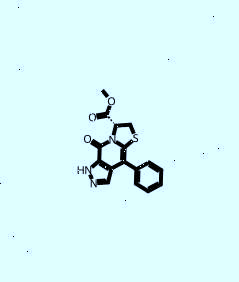 COC(=O)[C@@H]1CSc2c(-c3ccccc3)c3cn[nH]c3c(=O)n21